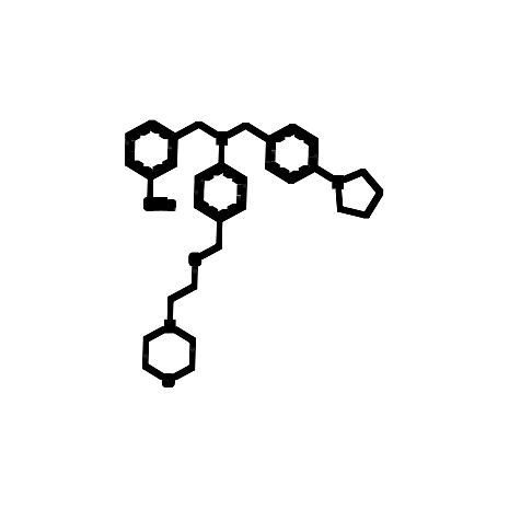 COc1cccc(CN(Cc2ccc(N3CCCC3)cc2)c2ccc(COCCN3CCOCC3)cc2)c1